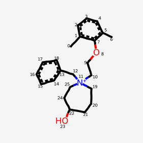 Cc1cccc(C)c1OCC[N+]1(Cc2ccccc2)CCCC(O)CC1